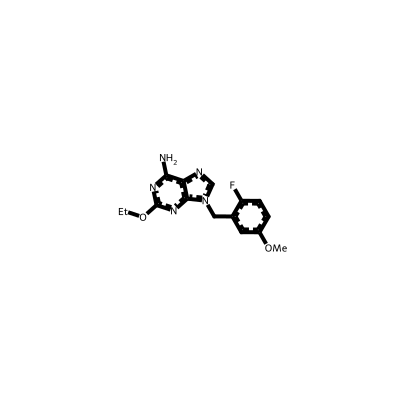 CCOc1nc(N)c2ncn(Cc3cc(OC)ccc3F)c2n1